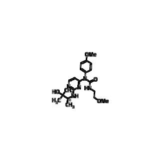 COCCNC(=O)N(c1ccc(OC)cc1)c1ccnc(N[C@@H](C)C(C)(C)O)n1